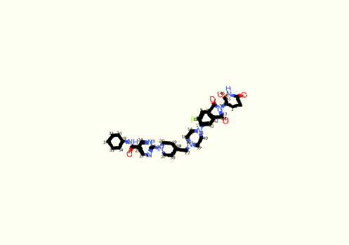 O=C1CCC(N2C(=O)c3cc(F)c(N4CCN(CC5CCN(c6ncc(C(=O)NC7CCCCC7)cn6)CC5)CC4)cc3C2=O)C(=O)N1